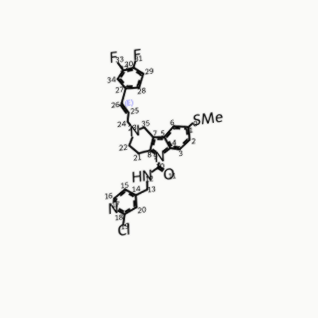 CSc1ccc2c(c1)c1c(n2C(=O)NCc2ccnc(Cl)c2)CCN(C/C=C/c2ccc(F)c(F)c2)C1